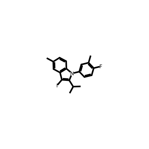 Cc1ccc2c(c1)c(I)c(C(C)C)n2-c1ccc(F)c(C)c1